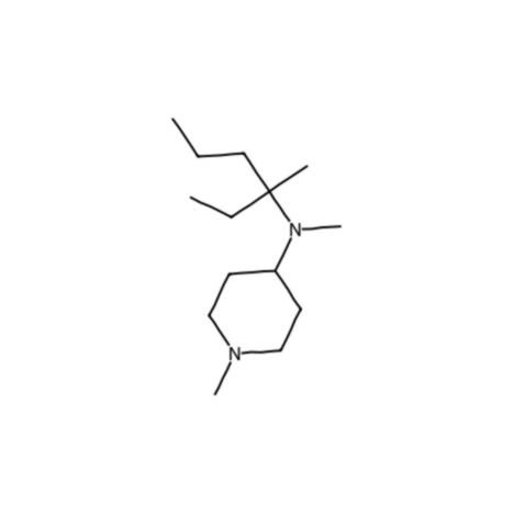 CCCC(C)(CC)N(C)C1CCN(C)CC1